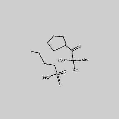 CCCCC(S)(CCCC)C(=O)C1CCCC1.CCCCS(=O)(=O)O